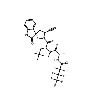 C[C@H](NC(=O)C(F)(F)C(F)(F)C(F)(F)F)C(=O)N(C)[C@@H](CC(C)(C)C)C(=O)N1C[C@]2(C[C@H]1C#N)C(=O)Nc1ccccc12